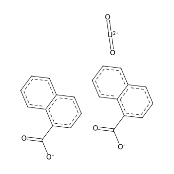 O=C([O-])c1cccc2ccccc12.O=C([O-])c1cccc2ccccc12.[O]=[U+2]=[O]